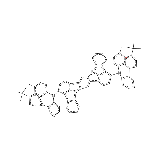 Cc1ccc(N(c2ccccc2-c2ccc(C(C)(C)C)cc2)c2ccc3c4cc5c(cc4n4c6ccccc6c2c34)c2ccc(N(c3ccc(C)cc3)c3ccccc3-c3ccc(C(C)(C)C)cc3)c3c4ccccc4n5c23)cc1